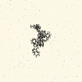 O=C(Cc1csc2ccccc12)N[C@H](C(=O)N[C@H]1CCc2cccc3c2N(C1=O)[C@H](C(=O)NCc1c[nH]nn1)C3)c1ccccc1